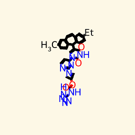 CCc1ccc2c(c1)C=Cc1cc(C)ccc1C2c1cn(-c2ccnc(N3CC(OC(=O)Nc4nnn[nH]4)C3)n2)c(=O)[nH]c1=O